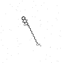 CCCCCCCCCCCCCCCCc1nc2ccccc2nc1C